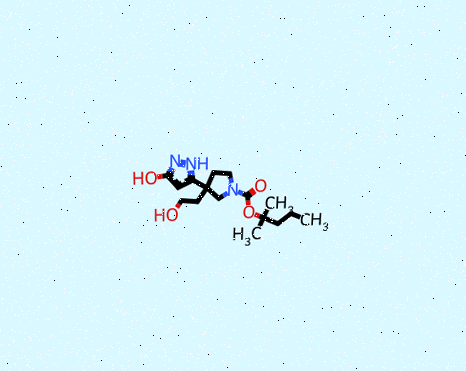 CCCC(C)(C)OC(=O)N1CCC(CCO)(c2cc(O)n[nH]2)C1